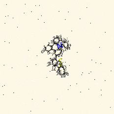 c1ccc2c(c1)-c1cc(-c3cccc4c3sc3ccccc34)ccc1-n1c3ccccc3c3cccc-2c31